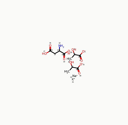 CC(O)C(=O)[O-].CC(O)C(=O)[O-].NC(CC(=O)O)C(=O)O.[K+].[Na+]